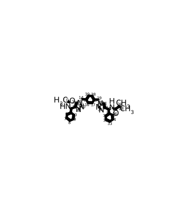 CC(=O)NC(c1ccccc1)c1cn(Cc2ccc(Cn3cc(C(NC(=O)C(C)C)c4ccccc4)nn3)cc2)nn1